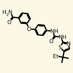 CCC(C)(C)c1cnc(NC(=O)Nc2ccc(Oc3cccc(C(N)=O)c3)cc2)s1